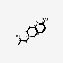 CC(O)CN1CCc2nc(Cl)ccc2C1